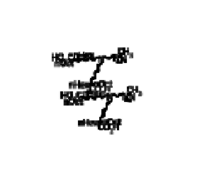 CCCCCCCCC(CCCCCC)(CCCCCCN(CCCCCCC(CCCCCC)(CCCCCCCC)C(=O)O)CCCn1ccnc1C)C(=O)O.CCCCCCCCC(CCCCCC)(CCCCCCN(CCCCCCC(CCCCCC)(CCCCCCCC)C(=O)O)CCCn1ccnc1C)C(=O)O